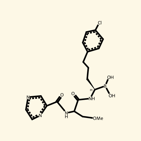 COCC(NC(=O)c1cnccn1)C(=O)N[C@@H](CCCc1ccc(Cl)cc1)B(O)O